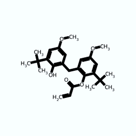 C=CC(=O)Oc1c(Cc2cc(OC)cc(C(C)(C)C)c2O)cc(OC)cc1C(C)(C)C